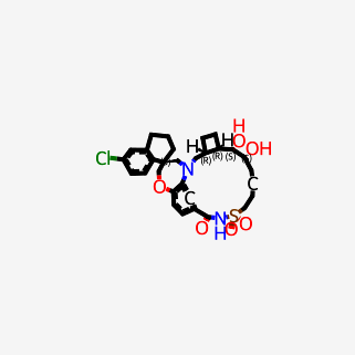 O=C1NS(=O)(=O)CCCC[C@H](O)[C@@H](O)[C@@H]2CC[C@H]2CN2C[C@@]3(CCCc4cc(Cl)ccc43)COc3ccc1cc32